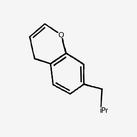 CC(C)Cc1ccc2c(c1)OC=CC2